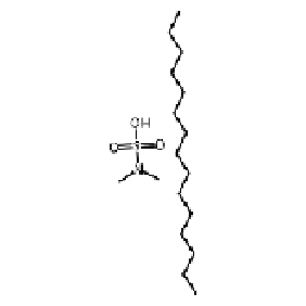 CCCCCCCCCCCCCCC.CN(C)S(=O)(=O)O